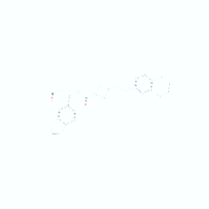 O=C(O)CC(NC(=O)N1CC(CCc2ccc3c(n2)NCCC3)C1)c1ccc2c(c1)OCC2